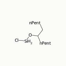 CCCCCCC(CCCCC)O[SiH2]Cl